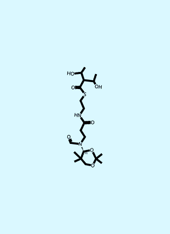 CC(O)C(C(=O)SCCNC(=O)CCN(C=O)[C@@H]1OC(C)(C)OCC1(C)C)C(C)O